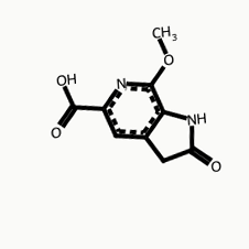 COc1nc(C(=O)O)cc2c1NC(=O)C2